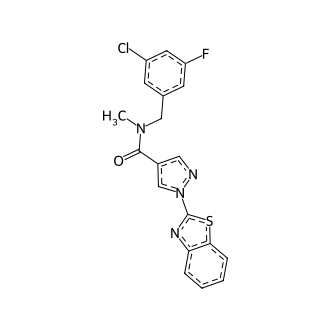 CN(Cc1cc(F)cc(Cl)c1)C(=O)c1cnn(-c2nc3ccccc3s2)c1